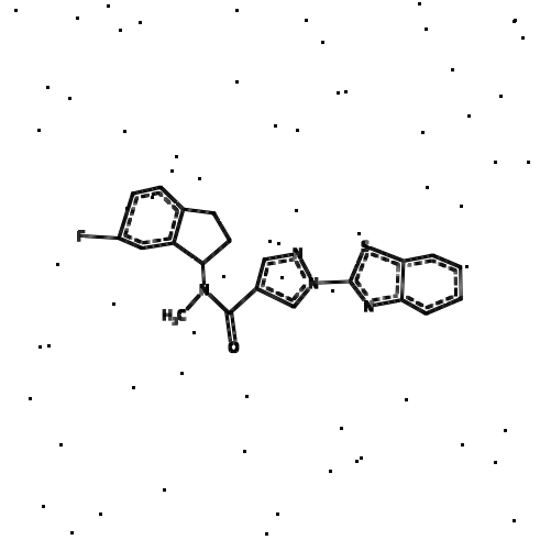 CN(C(=O)c1cnn(-c2nc3ccccc3s2)c1)C1CCc2ccc(F)cc21